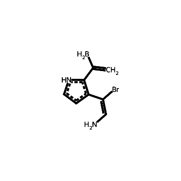 BC(=C)c1[nH]ccc1/C(Br)=C\N